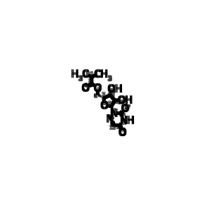 CC(C)C(=O)OC[C@H]1O[C@@H](n2ncc(=O)[nH]c2=O)C(O)[C@H]1O